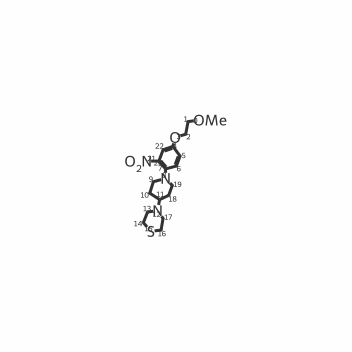 COCCOc1ccc(N2CCC(N3CCSCC3)CC2)c([N+](=O)[O-])c1